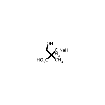 CC(C)(CO)C(=O)O.[NaH]